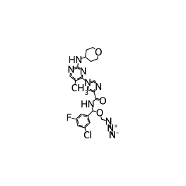 Cc1cnc(NC2CCOCC2)nc1-n1cnc(C(=O)NC(OCN=[N+]=[N-])c2cc(F)cc(Cl)c2)c1